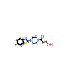 O=C(CCO)N1CCN(c2nc3ccccc3s2)CC1